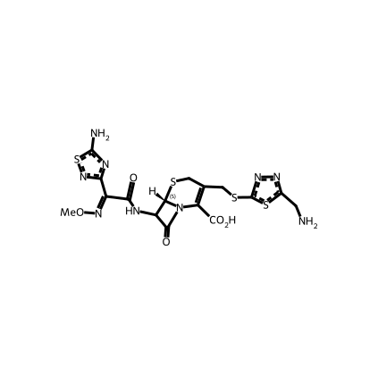 CON=C(C(=O)NC1C(=O)N2C(C(=O)O)=C(CSc3nnc(CN)s3)CS[C@@H]12)c1nsc(N)n1